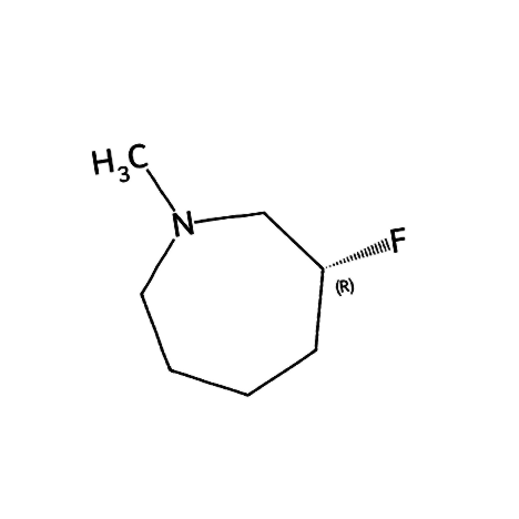 CN1CCCC[C@@H](F)C1